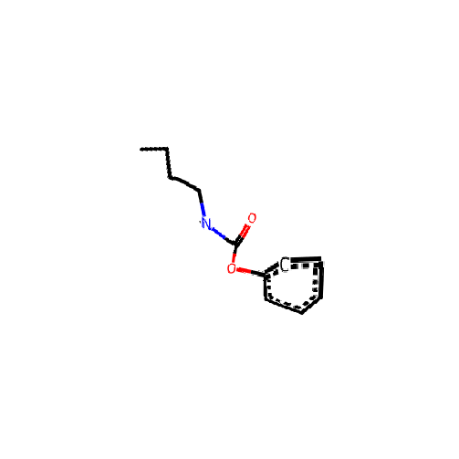 CCCC[N]C(=O)Oc1ccccc1